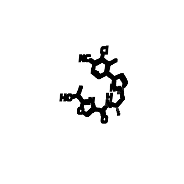 Cc1c(-c2ccn(C[C@H](C)NC(=O)c3coc(C(C)O)n3)n2)ccc(C#N)c1Cl